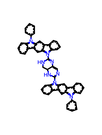 C1=C2N=C(n3c4ccccc4c4cc5c(cc43)c3ccccc3n5-c3ccccc3)NCC2NC(n2c3ccccc3c3cc4c(cc32)c2ccccc2n4-c2ccccc2)=N1